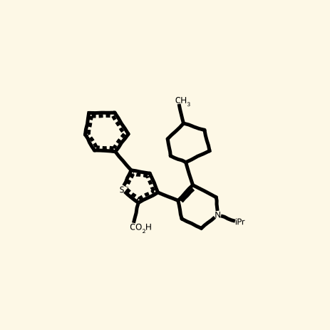 CC1CCC(C2=C(c3cc(-c4ccccc4)sc3C(=O)O)CCN(C(C)C)C2)CC1